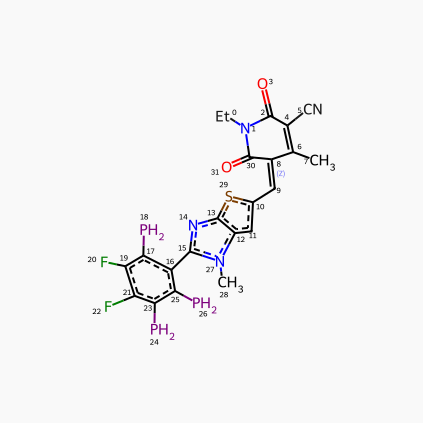 CCN1C(=O)C(C#N)=C(C)/C(=C/c2cc3c(nc(-c4c(P)c(F)c(F)c(P)c4P)n3C)s2)C1=O